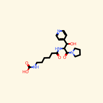 O=C(O)NCCCCCC(=O)NC(C(=O)N1CCCC1)C(O)c1ccncc1